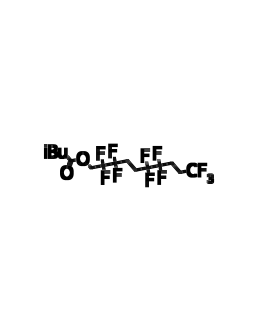 CCC(C)C(=O)OCC(F)(F)C(F)(F)CCC(F)(F)C(F)(F)CCC(F)(F)F